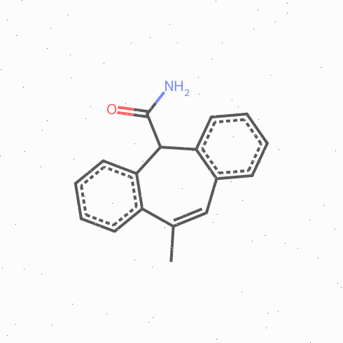 CC1=Cc2ccccc2C(C(N)=O)c2ccccc21